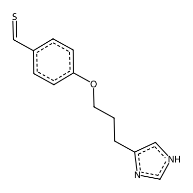 S=Cc1ccc(OCCCc2c[nH]cn2)cc1